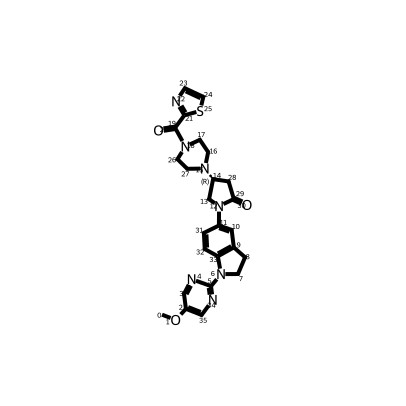 COc1cnc(N2CCc3cc(N4C[C@H](N5CCN(C(=O)c6nccs6)CC5)CC4=O)ccc32)nc1